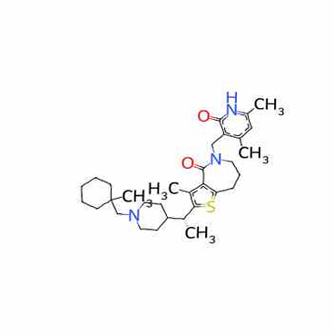 Cc1cc(C)c(CN2CCCc3sc([C@H](C)C4CCN(CC5(C)CCCCC5)CC4)c(C)c3C2=O)c(=O)[nH]1